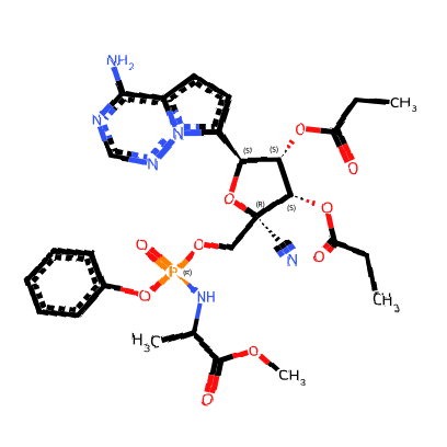 CCC(=O)O[C@H]1[C@H](c2ccc3c(N)ncnn23)O[C@](C#N)(CO[P@](=O)(NC(C)C(=O)OC)Oc2ccccc2)[C@H]1OC(=O)CC